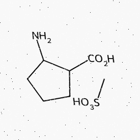 CS(=O)(=O)O.NC1CCCC1C(=O)O